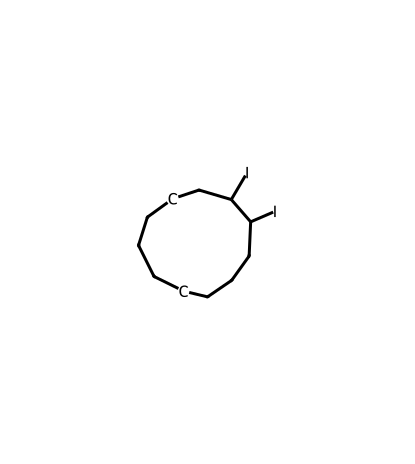 IC1CCCCCCCCCC1I